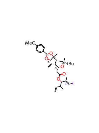 C=CC(C)C(OC(=O)C[C@H](CC[C@@]1(C)OC(c2ccc(OC)cc2)O[C@H]1C=C)O[Si](C)(C)C(C)(C)C)/C(C)=C/I